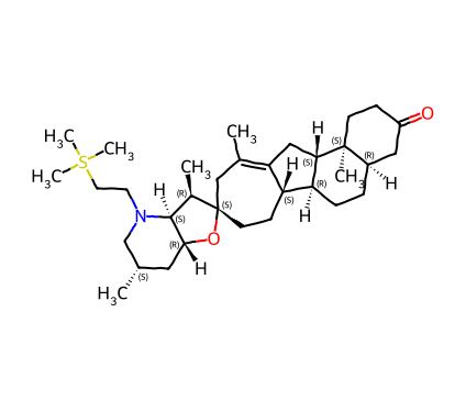 CC1=C2C[C@H]3[C@@H](CC[C@@H]4CC(=O)CC[C@@]43C)[C@@H]2CC[C@@]2(C1)O[C@@H]1C[C@H](C)CN(CCS(C)(C)C)[C@H]1[C@H]2C